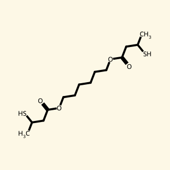 CC(S)CC(=O)OCCCCCCOC(=O)CC(C)S